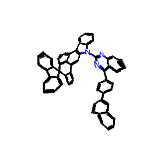 c1ccc2c(c1)-c1ccccc1C21c2ccccc2-c2cc3c(c4cccc1c24)c1ccccc1n3-c1nc(-c2ccc(-c3ccc4ccccc4c3)cc2)c2ccccc2n1